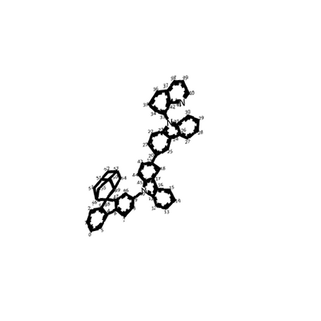 c1ccc2c(c1)-c1ccc(-n3c4ccccc4c4cc(-c5ccc6c(c5)c5ccccc5n6-c5cccc6cccnc56)ccc43)cc1C21C2CC3CC(C2)CC1C3